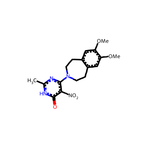 COc1cc2c(cc1OC)CCN(c1nc(C)[nH]c(=O)c1[N+](=O)[O-])CC2